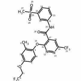 Cc1cc(OCC(F)(F)F)ccc1Oc1nnc(C(F)(F)F)cc1C(=O)Nc1cccc(S(C)(=O)=O)c1